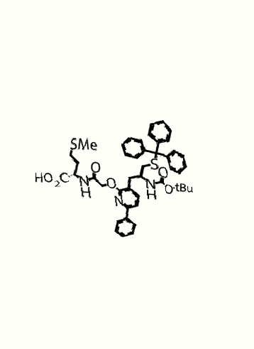 CSCC[C@H](NC(=O)COc1nc(-c2ccccc2)ccc1CC(CSC(c1ccccc1)(c1ccccc1)c1ccccc1)NC(=O)OC(C)(C)C)C(=O)O